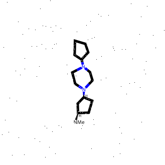 CN[C@@H]1CC[C@H](N2CCN(C3CCCC3)CC2)C1